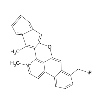 Cc1c2c(cc3ccccc13)Oc1cc3c(CC(C)C)cccc3c3cc[n+](C)c-2c13